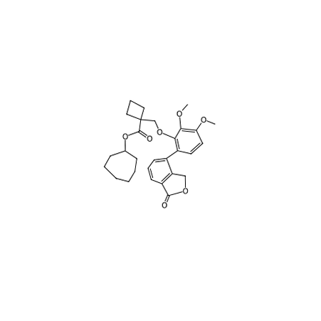 COc1ccc(-c2cccc3c2COC3=O)c(OCC2(C(=O)OC3CCCCCC3)CCC2)c1OC